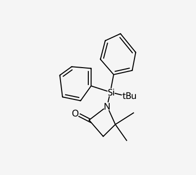 CC1(C)CC(=O)N1[Si](c1ccccc1)(c1ccccc1)C(C)(C)C